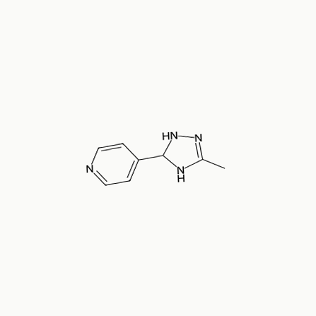 CC1=NNC(c2ccncc2)N1